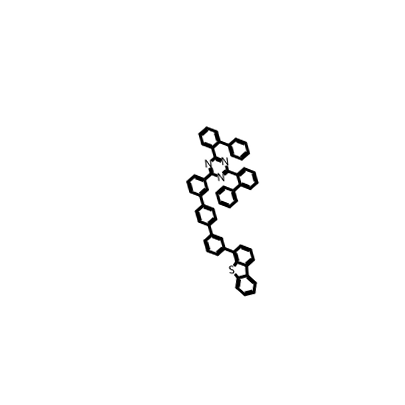 c1ccc(-c2ccccc2-c2nc(-c3cccc(-c4ccc(-c5cccc(-c6cccc7c6sc6ccccc67)c5)cc4)c3)nc(-c3ccccc3-c3ccccc3)n2)cc1